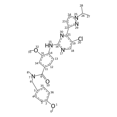 COc1ccc(CN(C)C(=O)c2ccc(Nc3ncc(Cl)c(-c4ccn(C(C)C)n4)n3)c(OC)c2)cc1